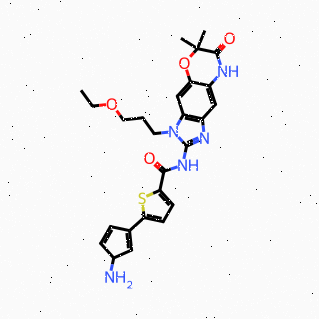 CCOCCCn1c(NC(=O)c2ccc(C3=CC(N)C=C3)s2)nc2cc3c(cc21)OC(C)(C)C(=O)N3